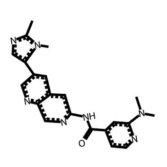 Cc1ncc(-c2cnc3cnc(NC(=O)c4ccnc(N(C)C)c4)cc3c2)n1C